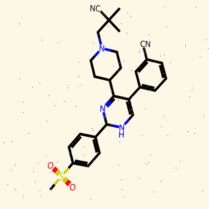 CC(C)(C#N)CN1CCC(C2=NC(c3ccc(S(C)(=O)=O)cc3)NC=C2c2cccc(C#N)c2)CC1